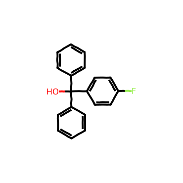 OC(c1ccccc1)(c1ccccc1)c1ccc(F)cc1